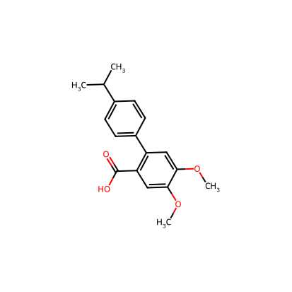 COc1cc(C(=O)O)c(-c2ccc(C(C)C)cc2)cc1OC